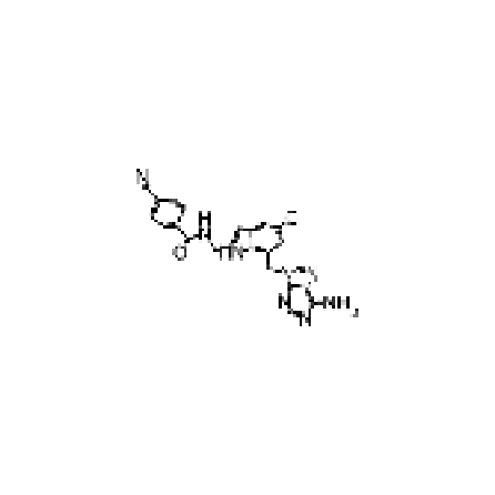 N#Cc1ccc(C(=O)NCc2cc3cc(Cl)cc(Cn4cnc5c(N)ncnc54)c3[nH]2)cc1